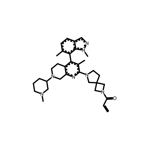 C=CC(=O)N1CC2(CCN(c3nc4c(c(-c5c(C)ccc6cnn(C)c56)c3C)CCN(C3CCCN(C)C3)C4)C2)C1